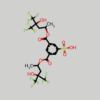 CC(CC(O)(C(F)(F)F)C(F)(F)F)OC(=O)c1cc(C(=O)OC(C)CC(O)(C(F)(F)F)C(F)(F)F)cc(S(=O)(=O)O)c1